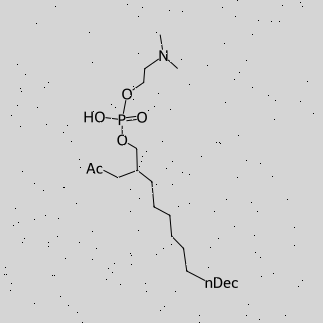 CCCCCCCCCCCCCCCCC(COP(=O)(O)OCCN(C)C)CC(C)=O